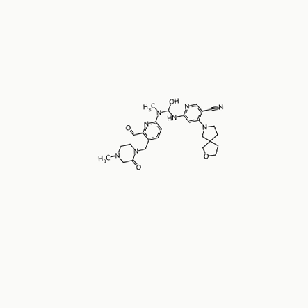 CN1CCN(Cc2ccc(N(C)C(O)Nc3cc(N4CCC5(CCOC5)C4)c(C#N)cn3)nc2C=O)C(=O)C1